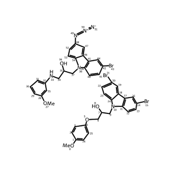 COc1ccc(OCC(O)Cn2c3ccc(Br)cc3c3cc(Br)ccc32)cc1.COc1cccc(NCC(O)Cn2c3ccc(Br)cc3c3cc(N=[N+]=[N-])ccc32)c1